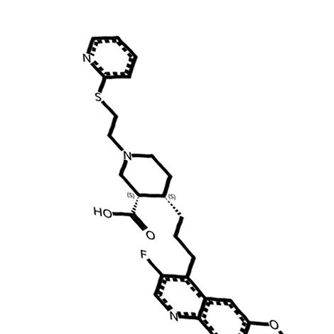 COc1ccc2ncc(F)c(CCC[C@H]3CCN(CCSc4ccccn4)C[C@H]3C(=O)O)c2c1